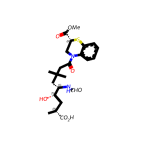 COC(=O)[C@H]1CN(C(=O)CC(C)(C)C[C@H](NC=O)[C@@H](O)C[C@@H](C)C(=O)O)c2ccccc2S1